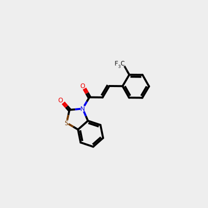 O=C(/C=C/c1ccccc1C(F)(F)F)n1c(=O)sc2ccccc21